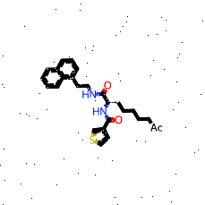 CC(=O)CCCCC[C@H](NC(=O)c1ccsc1)C(=O)NCCc1cccc2ccccc12